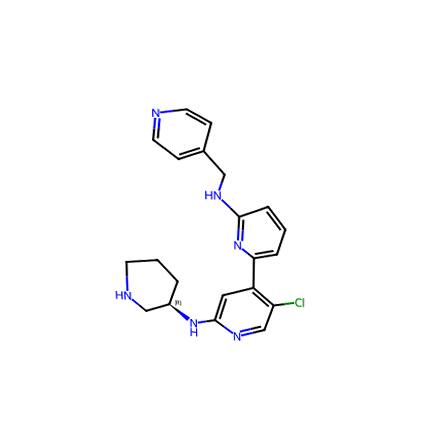 Clc1cnc(N[C@@H]2CCCNC2)cc1-c1cccc(NCc2ccncc2)n1